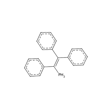 PC(=C(c1ccccc1)c1ccccc1)c1ccccc1